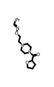 CC(C)/C=N/OCCN1CCN(C(=O)C2CCCO2)CC1